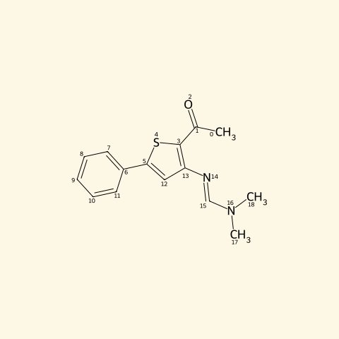 CC(=O)c1sc(-c2ccccc2)cc1/N=C/N(C)C